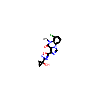 CC(C)n1c(=O)c2c(-c3nc(C4(O)CC4)no3)ncn2c2cccc(F)c21